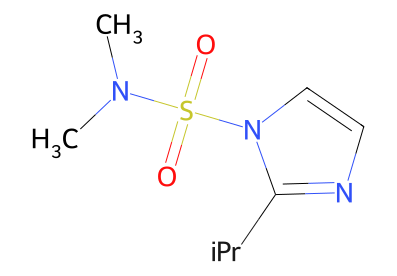 CC(C)c1nccn1S(=O)(=O)N(C)C